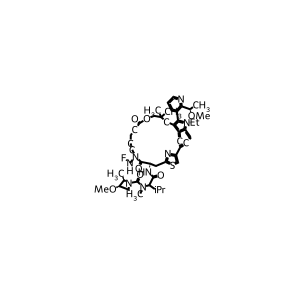 CCn1c(-c2cccnc2[C@H](C)OC)c2c3cc(ccc31)-c1csc(n1)C[C@H](NC(=O)C(C(C)C)N(C)C(=O)N1C[C@@H](OC)[C@H]1C)C(=O)N(NF)CCCCC(=O)OCC(C)(C)C2